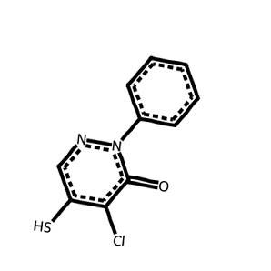 O=c1c(Cl)c(S)cnn1-c1ccccc1